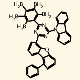 Bc1c(B)c(B)c(-c2nc(-c3cccc4c3oc3cccc(-c5ccccc5)c34)nc(-n3c4ccccc4c4ccccc43)n2)c(B)c1B